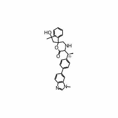 C[C@@H](c1ccc(-c2ccc3ncn(C)c3c2)cc1)C1NCC(CC(C)(C)O)(c2ccccc2)OC1=O